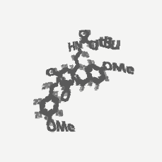 COc1ccc(Cn2c(CCCNC(=O)OC(C)(C)C)cc(=O)n(Cc3ccc(OC)cc3)c2=O)cc1